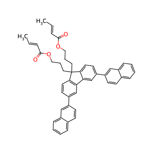 CC=CC(=O)OCCCC1(CCCOC(=O)C=CC)c2ccc(-c3ccc4ccccc4c3)cc2-c2cc(-c3ccc4ccccc4c3)ccc21